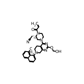 C=CC(=O)N1CCN(c2nc(OCO)nc3c2CCN(c2cccc4cccc(C)c24)C3)C[C@@H]1CC#N